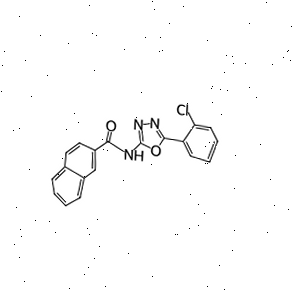 O=C(Nc1nnc(-c2ccccc2Cl)o1)c1ccc2ccccc2c1